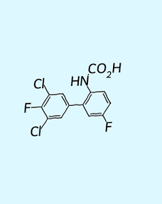 O=C(O)Nc1ccc(F)cc1-c1cc(Cl)c(F)c(Cl)c1